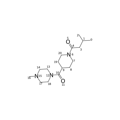 CC(C)CC(=O)N1CCC(C(=O)N2CCN(C)CC2)CC1